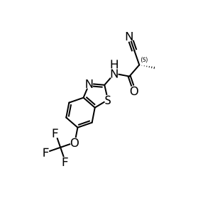 C[C@@H](C#N)C(=O)Nc1nc2ccc(OC(F)(F)F)cc2s1